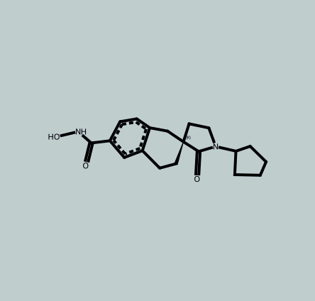 O=C(NO)c1ccc2c(c1)CC[C@]1(CCN(C3CCCC3)C1=O)C2